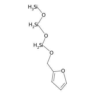 [SiH3]O[SiH2]O[SiH2]OCc1ccco1